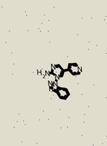 NC1N=CC(c2ccncc2)=CN1n1nnc2ccccc21